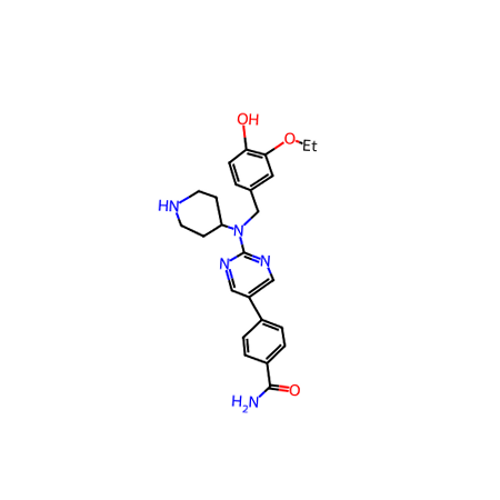 CCOc1cc(CN(c2ncc(-c3ccc(C(N)=O)cc3)cn2)C2CCNCC2)ccc1O